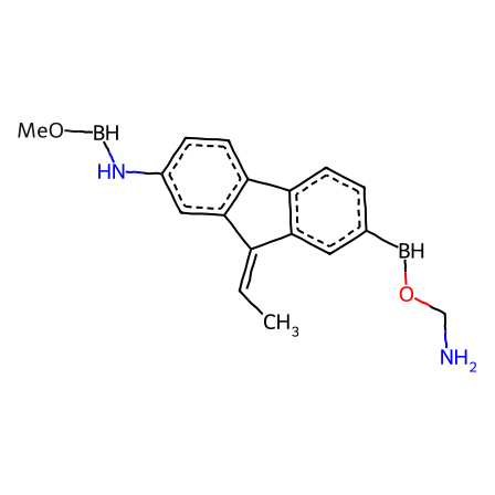 C/C=C1\c2cc(BOCN)ccc2-c2ccc(NBOC)cc21